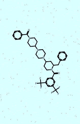 O=C(c1ccccc1)N1CCC(N2CCN(C3CCN(C(=O)c4cc(C(F)(F)F)cc(C(F)(F)F)c4)C(Cc4ccccc4)C3)CC2)CC1